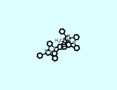 CC1(C)c2cc3c(cc2-c2cc4c5ccccc5n(-c5ccccc5-c5nc(-c6ccccc6)cc(-c6ccccc6)n5)c4cc21)c1ccccc1n3-c1ccccc1-c1nc(-c2ccccc2)cc(-c2ccccc2)n1